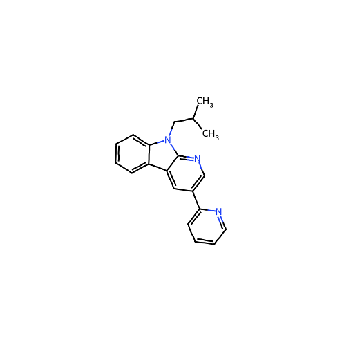 CC(C)Cn1c2ccccc2c2cc(-c3ccccn3)cnc21